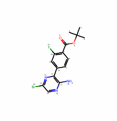 CC(C)(C)OC(=O)c1ccc(-c2nc(Br)cnc2N)cc1F